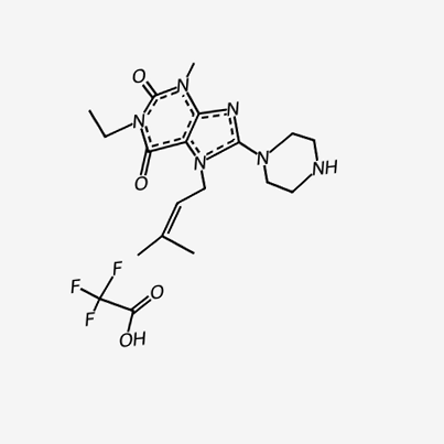 CCn1c(=O)c2c(nc(N3CCNCC3)n2CC=C(C)C)n(C)c1=O.O=C(O)C(F)(F)F